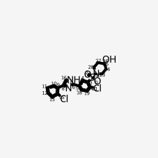 O=S(=O)(c1cc(-c2nc(-c3ccccc3Cl)c[nH]2)ccc1Cl)N1CCC(O)CC1